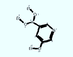 CCOB(OCC)c1cncc(OCC)c1